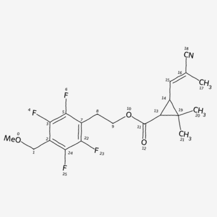 COCc1c(F)c(F)c(CCOC(=O)C2C(C=C(C)C#N)C2(C)C)c(F)c1F